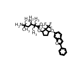 CC(C)(N)CC(N)C(C)(C)C(=O)OC1CCC(Oc2ccc3cc(-c4ccccc4)oc3c2)C1(C)C(F)(F)F